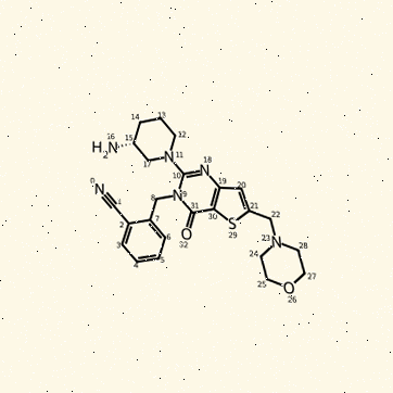 N#Cc1ccccc1Cn1c(N2CCC[C@@H](N)C2)nc2cc(CN3CCOCC3)sc2c1=O